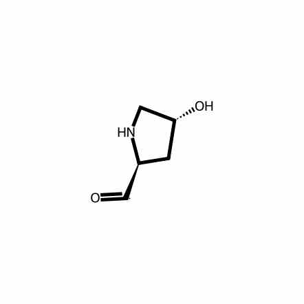 O=[C][C@@H]1C[C@@H](O)CN1